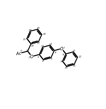 CC(=O)C(Oc1ccc(Oc2ccccc2)cc1)c1ccccc1